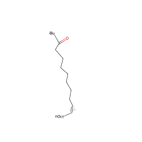 C[CH]C(C)C(=O)CCCCCCC/C=C\CCCCCCCC